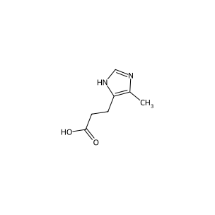 Cc1nc[nH]c1CCC(=O)O